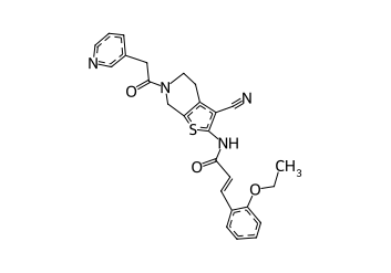 CCOc1ccccc1C=CC(=O)Nc1sc2c(c1C#N)CCN(C(=O)Cc1cccnc1)C2